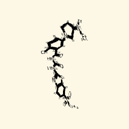 CCN(CC)C1CCN(c2ccc(Cl)c(C(=O)NC(=O)Nc3nc4ccc(S(C)(=O)=O)cc4s3)c2)C1